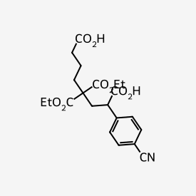 CCOC(=O)C(CCCC(=O)O)(CC(C(=O)O)c1ccc(C#N)cc1)C(=O)OCC